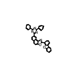 c1ccc(-c2nc(-c3ccccc3)nc(-c3ccc4ccc5oc(-c6cccc7c6oc6ccccc67)nc5c4c3)n2)cc1